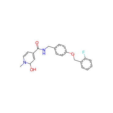 CN1C=CC(C(=O)NCc2ccc(OCc3ccccc3F)cc2)=CC1O